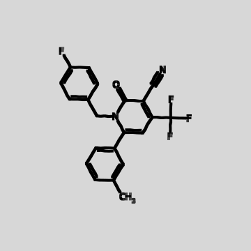 Cc1cccc(-c2cc(C(F)(F)F)c(C#N)c(=O)n2Cc2ccc(F)cc2)c1